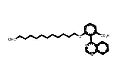 O=CCCCCCCCCCCCOc1cccc(C(=O)O)c1-c1ncnc2ccccc12